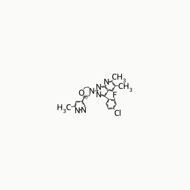 Cc1cc([C@@H]2CN(c3nc(-c4ccc(Cl)cc4F)c4cc(C)c(C)nc4n3)CCO2)cnn1